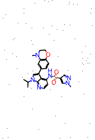 CC(C)n1cc(-c2ccc3c(c2)N(C)CCO3)c2c(NS(=O)(=O)c3cnn(C)c3)ccnc21